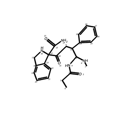 CCC(=O)NC(NC)C(CC(=O)C1(C(N)=O)NCc2ccccc21)c1ccccc1